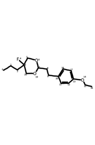 CCCC1(F)COC(CCc2ccc(OCC)cc2)OC1